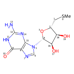 CSC[C@H]1O[C@@H](n2cnc3c(=O)[nH]c(N)nc32)[C@H](O)[C@@H]1O